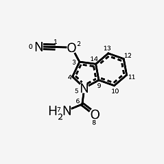 N#COc1cn(C(N)=O)c2ccccc12